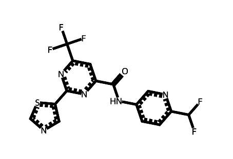 O=C(Nc1ccc(C(F)F)nc1)c1cc(C(F)(F)F)nc(-c2cncs2)n1